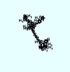 Cc1ncsc1-c1ccc(CNC(=O)[C@@H]2C[C@@H](OC(=O)OC[C@@H](C)SS(C)(=O)=O)CN2C(=O)[C@@H](NC(=O)COCCOCCOCCNC(=O)C[C@@H]2N=C(c3ccc(Cl)cc3)c3c(sc(C)c3C)-n3c(C)nnc32)C(C)(C)C)cc1